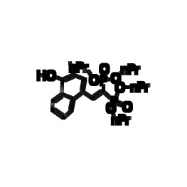 CCCOP(=O)(OCCC)C(=Cc1cc(C)c(O)c2ccccc12)P(=O)(OCCC)OCCC